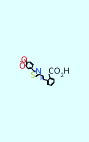 O=C(O)Cc1ccccc1/C=C/c1csc(-c2ccc3c(c2)OCO3)n1